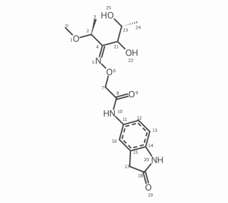 CO[C@@H](C)/C(=N/OCC(=O)Nc1ccc2c(c1)CC(=O)N2)C(O)[C@@H](C)O